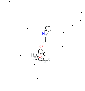 CCOC(=O)C(C)(C)Oc1ccc(OCCCC#Cc2ccc(C(F)(F)F)cn2)cc1C